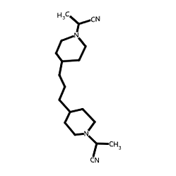 CC(C#N)N1CCC(CCCC2CCN(C(C)C#N)CC2)CC1